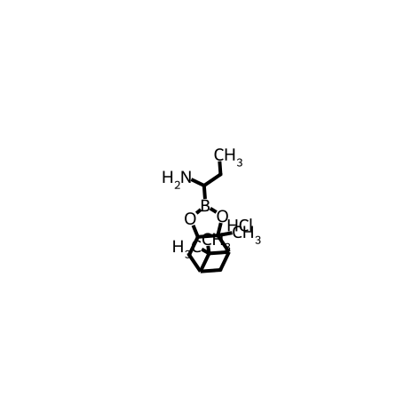 CCC(N)B1OC2CC3CC(C3(C)C)C2(C)O1.Cl